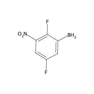 Bc1cc(F)cc([N+](=O)[O-])c1F